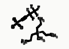 CCC[N+](C)(CCC)CCC.O=S(=O)([O-])C#CC(F)(F)C(F)(F)F